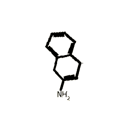 NC1=C[CH]c2ccccc2C1